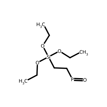 CCO[Si](CCP=O)(OCC)OCC